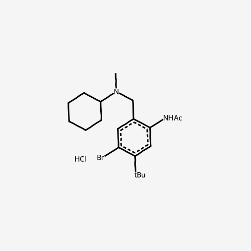 CC(=O)Nc1cc(C(C)(C)C)c(Br)cc1CN(C)C1CCCCC1.Cl